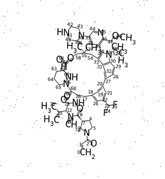 C=CC(=O)N1CC[C@H](C(=O)N(C)C(C(=O)N[C@H]2Cc3cc(cc(C(F)F)c3)-c3ccc4c(c3)c(c(-c3cc(N5CCNCC5)cnc3[C@H](C)OC)n4CC)CC(C)(C)COC(=O)[C@@H]3CCCN(N3)C2=O)C(C)C)C1